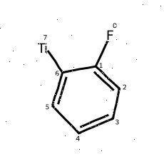 Fc1cccc[c]1[Ti]